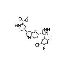 COC(=O)[C@H]1CN(c2cnc3ccc(-c4c[nH]nc4-c4cc(Cl)c(F)cc4F)nc3c2)CCN1